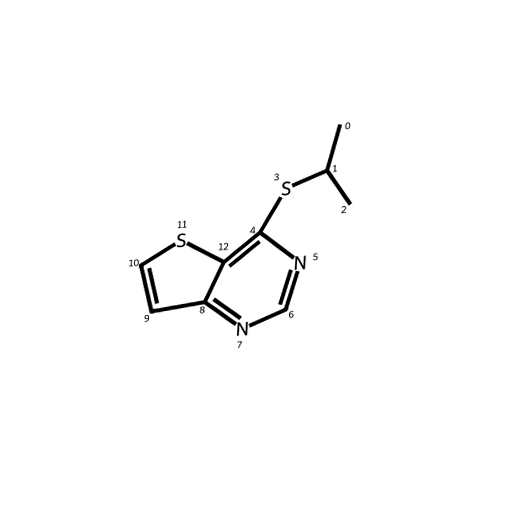 CC(C)Sc1ncnc2ccsc12